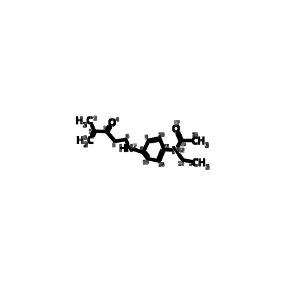 C=C(C)C(=O)CCNc1ccc(N(CC)C(C)=O)cc1